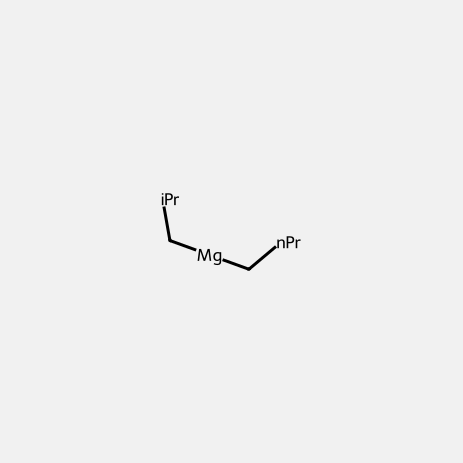 CCC[CH2][Mg][CH2]C(C)C